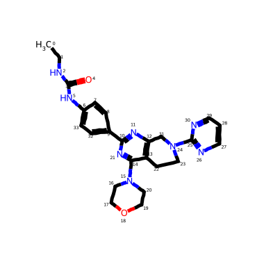 CCNC(=O)Nc1ccc(-c2nc3c(c(N4CCOCC4)n2)CCN(c2ncccn2)C3)cc1